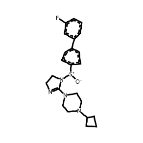 [O-][S+](c1ccc(-c2cccc(F)c2)cc1)N1CCN=C1N1CCN(C2CCC2)CC1